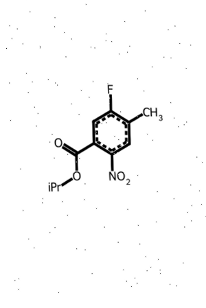 Cc1cc([N+](=O)[O-])c(C(=O)OC(C)C)cc1F